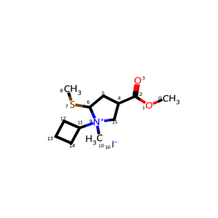 COC(=O)C1CC(SC)[N+](C)(C2CCC2)C1.[I-]